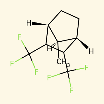 C[C@@H]1[C@@H]2CC[C@H]1C(C(F)(F)F)C2C(F)(F)F